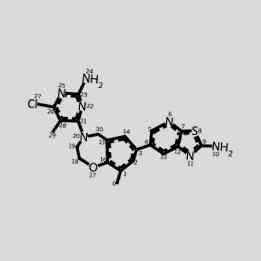 Cc1cc(-c2cnc3sc(N)nc3c2)cc2c1OCCN(c1nc(N)nc(Cl)c1C)C2